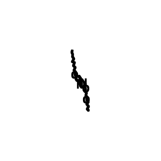 CCCCCCCCCCCOc1ccc(-c2ncc(OCCCCOCCCCC)cn2)cc1